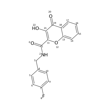 O=C(NCc1ccc(F)cc1)c1oc2ccccc2c(=O)c1O